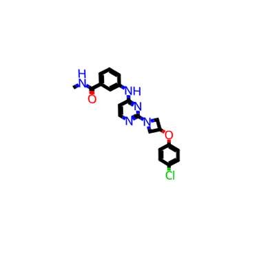 CNC(=O)c1cccc(Nc2ccnc(N3CC(Oc4ccc(Cl)cc4)C3)n2)c1